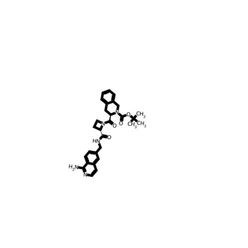 CC(C)(C)OC(=O)N1Cc2ccccc2C[C@@H]1C(=O)N1CC[C@H]1C(=O)NCc1ccc2c(N)nccc2c1